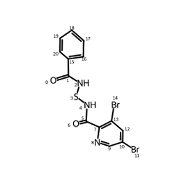 O=C(NSNC(=O)c1ncc(Br)cc1Br)c1ccccc1